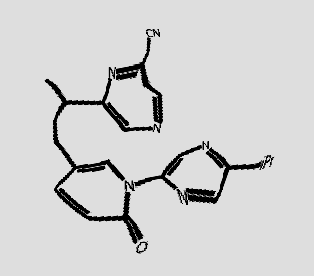 CC(C)c1cnc(-n2cc(CC(C)c3cncc(C#N)n3)ccc2=O)cn1